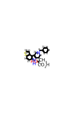 CC(O)C(=O)O.c1ccc(CN2CCc3[nH]c4ccc5sccc5c4c3C2)cc1